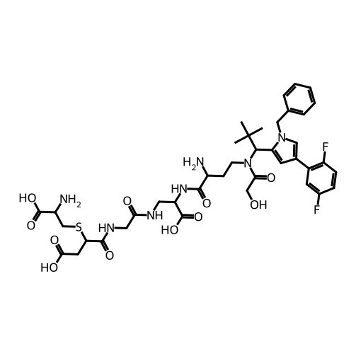 CC(C)(C)C(c1cc(-c2cc(F)ccc2F)cn1Cc1ccccc1)N(CCC(N)C(=O)NC(CNC(=O)CNC(=O)C(CC(=O)O)SCC(N)C(=O)O)C(=O)O)C(=O)CO